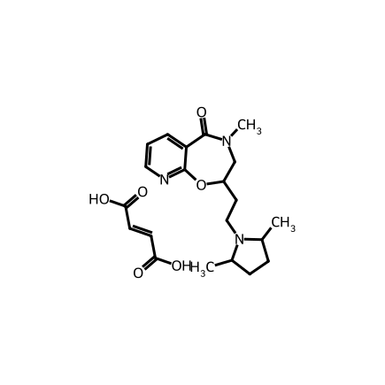 CC1CCC(C)N1CCC1CN(C)C(=O)c2cccnc2O1.O=C(O)C=CC(=O)O